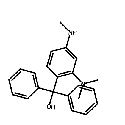 CNc1ccc(C(O)(c2ccccc2)c2ccccc2)c(N(C)C)c1